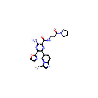 Cc1cnc2ccc(-c3nc(C(=O)NCCC(=O)N4CCCC4)c(N)nc3-c3ncco3)cn12